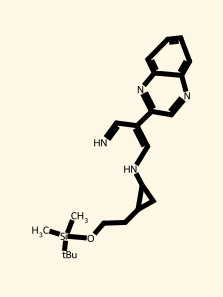 CC(C)(C)[Si](C)(C)OCCC1CC1N/C=C(\C=N)c1cnc2ccccc2n1